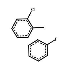 Fc1cc[c]cc1.[CH2]c1ccccc1Cl